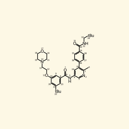 Cc1ncc(NC(=O)c2cc(OCCN3CCOCC3)cc(C(C)(C)C)c2)cc1-c1ccc(C(=O)NCC(C)(C)C)cc1